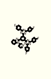 Fc1ccc(-c2nc(-c3ccc(F)cc3)nc(-c3cc(-c4nc(-c5ccc(F)cc5)nc(-c5ccc(F)cc5)n4)cc(-c4nc5ccccc5n4-c4cccnc4)c3)n2)cc1